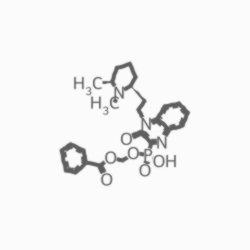 C[C@H]1CCC[C@@H](CCn2c(=O)c(P(=O)(O)OCOC(=O)c3ccccc3)nc3ccccc32)N1C